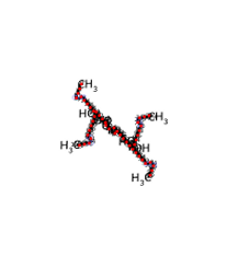 CCCCC/C=C\C/C=C\CCCCCC[C@@H](O)CN(CCCCC(=O)OCCN1CCN(CCSSCCCCN(C[C@@H](O)CCCCCC/C=C\C/C=C\CCCCC)C[C@@H](O)CCCCCC/C=C\C/C=C\CCCCC)CC1)C[C@H](O)CCCCCC/C=C\C/C=C\CCCCC